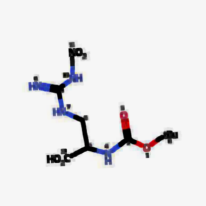 CC(C)(C)OC(=O)NC(CNC(=N)N[N+](=O)[O-])C(=O)O